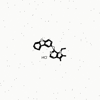 CCn1c(C)c(C)c2ccnc(Oc3ccc4oc5ccccc5c4c3)c21.Cl